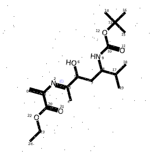 C=C(/N=C(\C)C(O)CC(NC(=O)OC(C)(C)C)C(C)C)C(=O)OCC